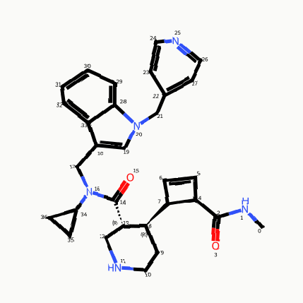 CNC(=O)C1C=CC1[C@H]1CCNC[C@@H]1C(=O)N(Cc1cn(Cc2ccncc2)c2ccccc12)C1CC1